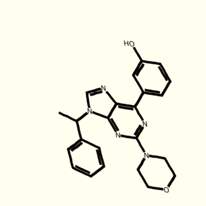 CC(c1ccccc1)n1cnc2c(-c3cccc(O)c3)nc(N3CCOCC3)nc21